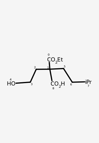 CCOC(=O)C(CCO)(CCC(C)C)C(=O)O